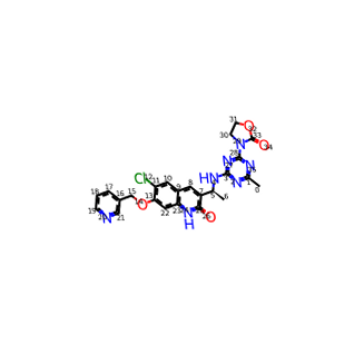 Cc1nc(N[C@@H](C)c2cc3cc(Cl)c(OCc4cccnc4)cc3[nH]c2=O)nc(N2CCOC2=O)n1